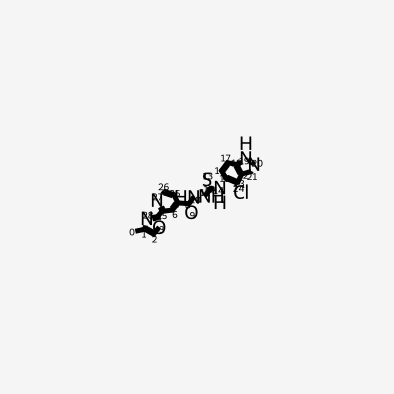 Cc1coc(-c2cc(C(=O)NNC(=S)Nc3ccc4[nH]ncc4c3Cl)ccn2)n1